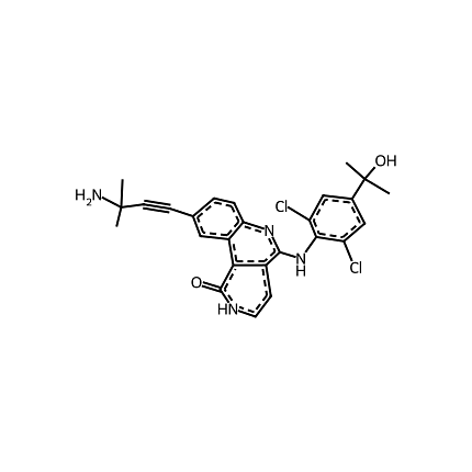 CC(C)(N)C#Cc1ccc2nc(Nc3c(Cl)cc(C(C)(C)O)cc3Cl)c3cc[nH]c(=O)c3c2c1